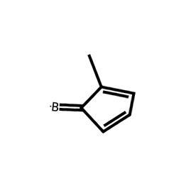 [B]=C1C=CC=C1C